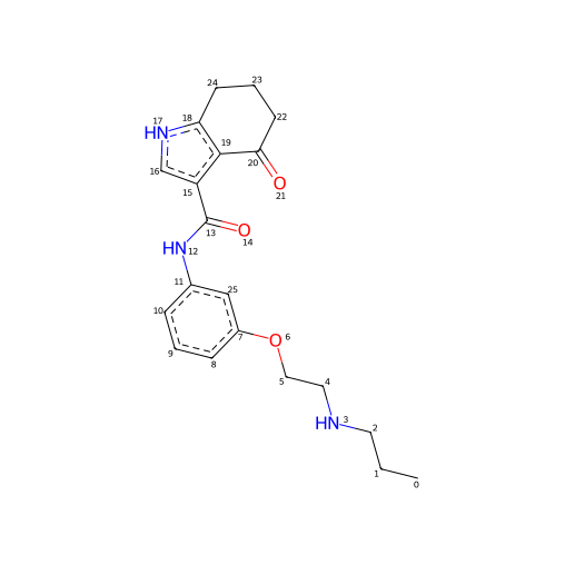 CCCNCCOc1cccc(NC(=O)c2c[nH]c3c2C(=O)CCC3)c1